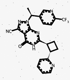 C[C@@H](c1ccc(C(F)(F)F)nc1)n1nc(C#N)c2c(=O)[nH]c([C@H]3CC[C@@H]3c3ccccn3)nc21